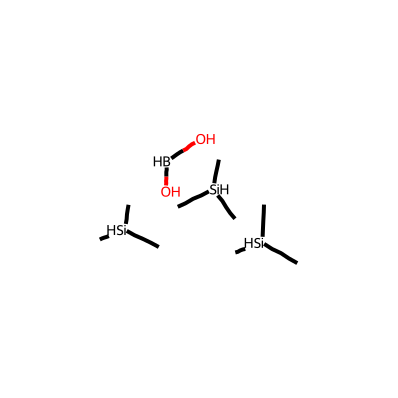 C[SiH](C)C.C[SiH](C)C.C[SiH](C)C.OBO